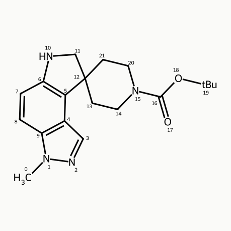 Cn1ncc2c3c(ccc21)NCC31CCN(C(=O)OC(C)(C)C)CC1